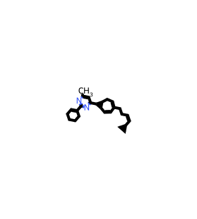 Cc1cc(C2=C3CC=C(CC/C=C\C4=CC4)C=CC32)nc(C2=CCCCC2)n1